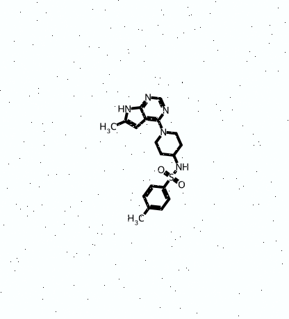 Cc1ccc(S(=O)(=O)NC2CCN(c3ncnc4[nH]c(C)cc34)CC2)cc1